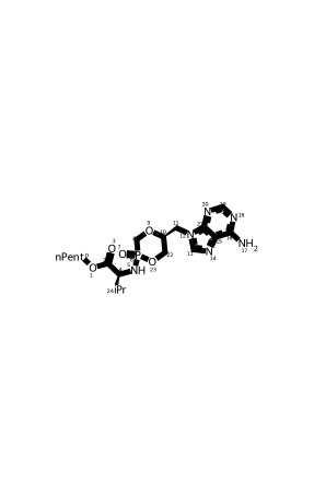 CCCCCOC(=O)[C@@H](NP1(=O)CO[C@@H](Cn2cnc3c(N)ncnc32)CO1)C(C)C